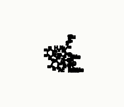 CN[C@](CCSC)(C(=O)OC)N(C(C)=O)N1C(=O)C(C(=O)C(N)CSSC(C)(C)C)N=C(c2ccccc2)c2ccccc21